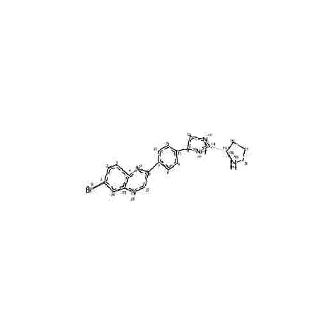 Brc1ccc2nc(-c3ccc(-c4cnc([C@@H]5CCCN5)[nH]4)cc3)cnc2c1